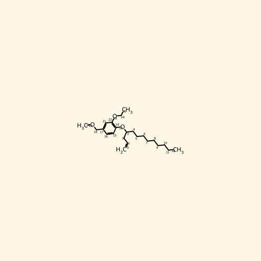 C=CCC(CCCCCCCCC)Oc1ccc(COC)cc1OCC